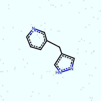 c1cncc(Cc2cn[nH]c2)c1